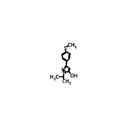 CSc1ccc(-c2cc(O)n(C(C)C)n2)cc1